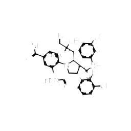 COc1cc(C(N)=O)ccc1N1[C@@H](CC(C)(C)CF)[C@@]2(C(=O)Nc3cc(Cl)ccc32)[C@@H](c2cccc(Cl)c2F)[C@@H]1C(N)=O